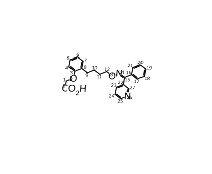 O=C(O)COc1ccccc1CCCCON=C(c1ccccc1)c1cccnc1